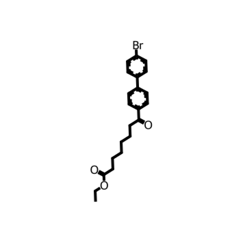 CCOC(=O)CCCCCCC(=O)c1ccc(-c2ccc(Br)cc2)cc1